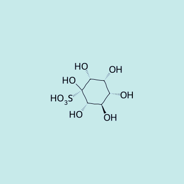 O=S(=O)(O)[C@]1(O)[C@H](O)[C@H](O)[C@H](O)[C@@H](O)[C@@H]1O